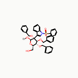 CCO[C@@H]1O[C@H](CO)[C@@H](OCc2ccccc2)[C@H](OCc2ccccc2)[C@]1(OCc1ccccc1)c1cn(S(=O)(=O)c2ccccc2)c2ccccc12